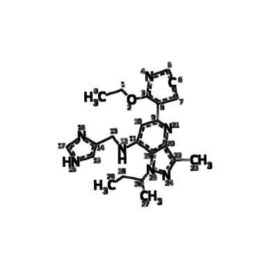 CCOc1ncccc1-c1cc(NCc2c[nH]cn2)c2c(n1)c(C)nn2C(C)CC